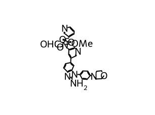 COc1ncc(-c2ccc3nc(N)n(-c4ccc(N5CCOCC5)cc4)c3c2)cc1N(OC=O)S(=O)(=O)c1cccnc1